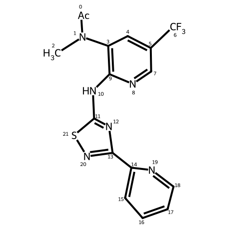 CC(=O)N(C)c1cc(C(F)(F)F)cnc1Nc1nc(-c2ccccn2)ns1